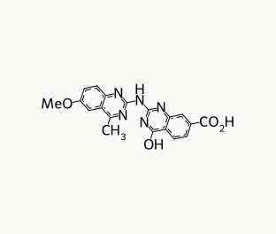 COc1ccc2nc(Nc3nc(O)c4ccc(C(=O)O)cc4n3)nc(C)c2c1